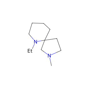 CCN1CCCCC12CCN(C)C2